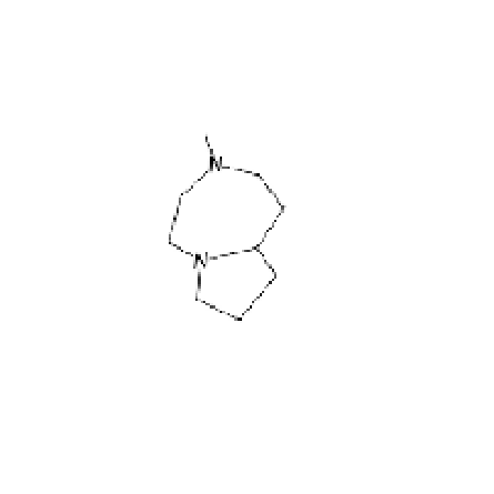 CN1CCC2CCCN2CC1